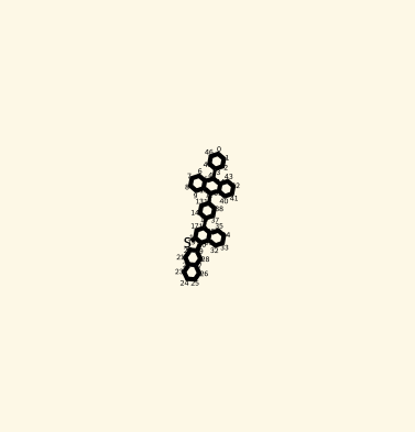 c1ccc(-c2c3ccccc3c(-c3ccc(-c4cc5sc6cc7ccccc7cc6c5c5ccccc45)cc3)c3ccccc23)cc1